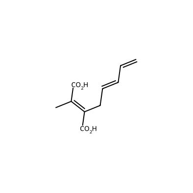 C=CC=CCC(C(=O)O)=C(C)C(=O)O